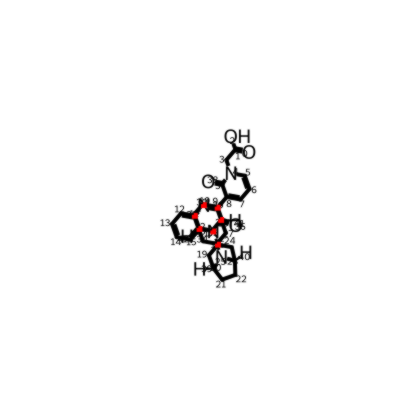 O=C(O)Cn1cccc(-c2nc3ccccc3n([C@@H]3C[C@H]4CC[C@@H](C3)N4[C@@H]3C[C@@H]4CCC[C@@H](C4)C3)c2=O)c1=O